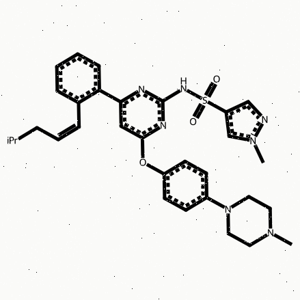 CC(C)C/C=C\c1ccccc1-c1cc(Oc2ccc(N3CCN(C)CC3)cc2)nc(NS(=O)(=O)c2cnn(C)c2)n1